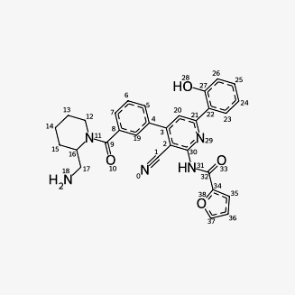 N#Cc1c(-c2cccc(C(=O)N3CCCCC3CN)c2)cc(-c2ccccc2O)nc1NC(=O)c1ccco1